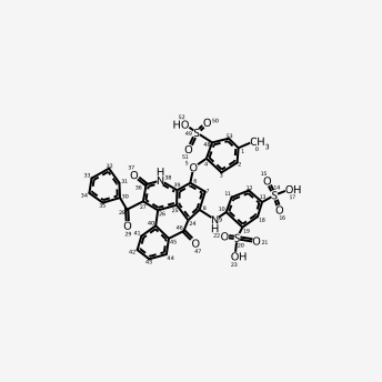 Cc1ccc(Oc2cc(Nc3ccc(S(=O)(=O)O)cc3S(=O)(=O)O)c3c4c(c(C(=O)c5ccccc5)c(=O)[nH]c24)-c2ccccc2C3=O)c(S(=O)(=O)O)c1